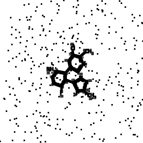 Cc1ncc(-c2cccc(F)c2-c2nnn(C)n2)cc1Cl.N